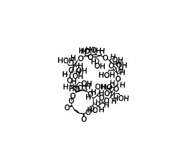 O=C1/C=C\C(=O)OO[C@@H]2[C@@H](O)[C@H]3O[C@H]4[C@H](O)[C@@H](O)[C@@H](O[C@H]5[C@H](O)[C@@H](O)[C@@H](O[C@H]6[C@H](O)[C@@H](O)[C@@H](O[C@H]7[C@H](O)[C@@H](O)[C@@H](O[C@@H]8[C@H](OO1)[C@@H](O)[C@@H](O[C@H]2[C@@H](CO)O3)O[C@@H]8CO)O[C@@H]7CO)O[C@@H]6CO)O[C@@H]5CO)O[C@@H]4CO